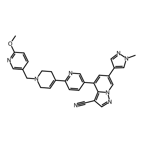 COc1ccc(CN2CC=C(c3ccc(-c4cc(-c5cnn(C)c5)cn5ncc(C#N)c45)cn3)CC2)cn1